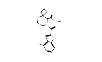 COC(=O)C1N(C(=O)c2cc3c(F)cccc3[nH]2)CCOC12CCC2